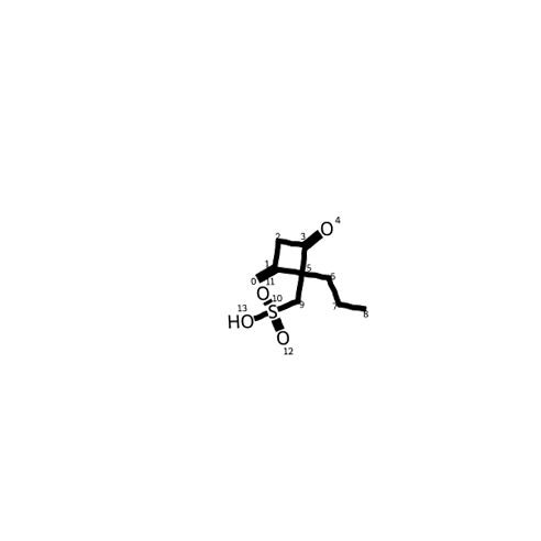 C=C1CC(=O)C1(CCC)CS(=O)(=O)O